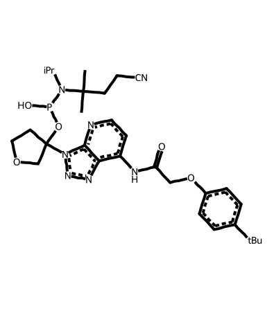 CC(C)N(P(O)OC1(n2nnc3c(NC(=O)COc4ccc(C(C)(C)C)cc4)ccnc32)CCOC1)C(C)(C)CCC#N